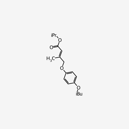 CCC(C)Oc1ccc(OC/C(C)=C/C(=O)OC(C)C)cc1